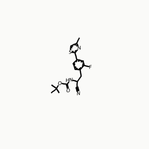 Cc1csc(-c2ccc(CC(C#N)NC(=O)OC(C)(C)C)c(F)c2)n1